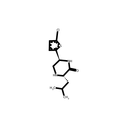 CC(C)C[C@@H]1NC[C@@H](c2ccc(Cl)s2)NC1=O